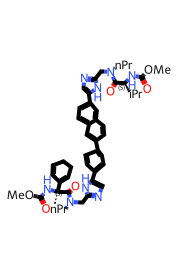 CCCN(Cc1ncc(-c2ccc3cc(-c4ccc(-c5cnc(CN(CCC)C(=O)[C@@](C)(NC(=O)OC)C6=CCCC=C6)[nH]5)cc4)ccc3c2)[nH]1)C(=O)[C@@H](NC(=O)OC)C(C)C